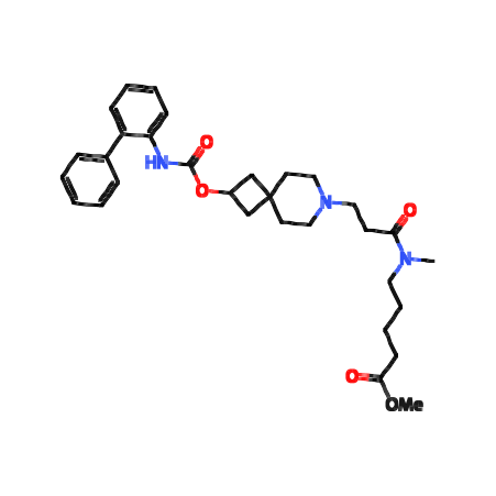 COC(=O)CCCCN(C)C(=O)CCN1CCC2(CC1)CC(OC(=O)Nc1ccccc1-c1ccccc1)C2